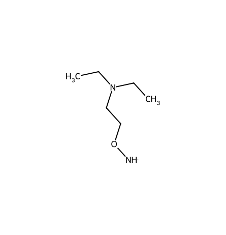 CCN(CC)CCO[NH]